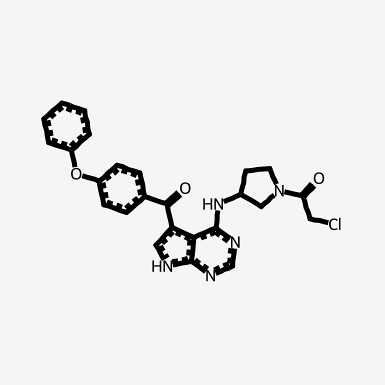 O=C(c1ccc(Oc2ccccc2)cc1)c1c[nH]c2ncnc(NC3CCN(C(=O)CCl)C3)c12